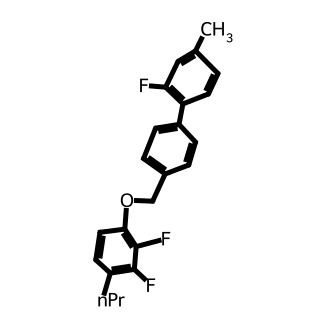 CCCc1ccc(OCc2ccc(-c3ccc(C)cc3F)cc2)c(F)c1F